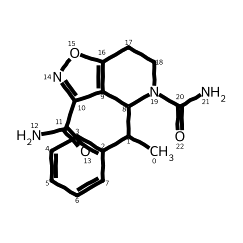 CC(c1ccccc1)C1c2c(C(N)=O)noc2CCN1C(N)=O